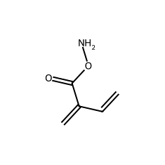 C=CC(=C)C(=O)ON